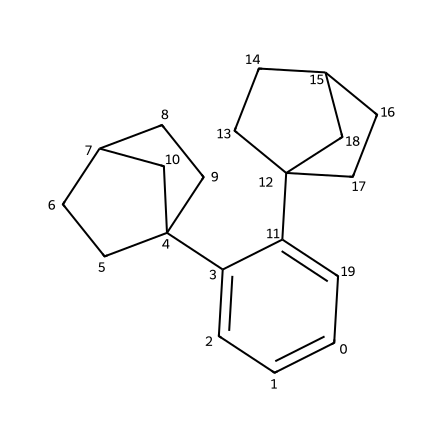 c1ccc(C23CCC(CC2)C3)c(C23CCC(CC2)C3)c1